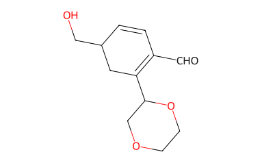 O=CC1=C(C2COCCO2)CC(CO)C=C1